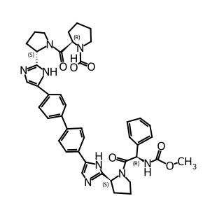 COC(=O)N[C@@H](C(=O)N1CCC[C@H]1c1ncc(-c2ccc(-c3ccc(-c4cnc([C@@H]5CCCN5C(=O)[C@H]5CCCCN5C(=O)O)[nH]4)cc3)cc2)[nH]1)c1ccccc1